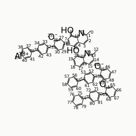 Cc1ccc2cccc(O)c2n1.Cc1ccc2cccc(O)c2n1.[Al+3].[O-]c1ccccc1-c1ccc(-c2ccccc2)cc1.[O-]c1ccccc1-c1ccc(-c2ccccc2)cc1.[O-]c1ccccc1-c1ccc(-c2ccccc2)cc1